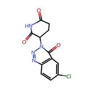 O=C1CCC(n2nnc3ccc(Cl)cc3c2=O)C(=O)N1